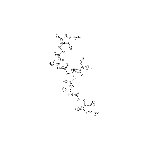 C=C(NC(=O)CCN1C(=O)CC(NC)C1=O)NC(=O)CC(CC(=O)NC(=C)NC(=O)CCN1C(=O)CC(NC)C1=O)NC(=O)C(=C)OCC